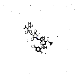 CC(C)C(N)C(=O)OCN1C(=O)N/C(=C\c2cnn3c(NC4CC4)cc(Nc4cc(Cl)ccc4F)nc23)C1=O